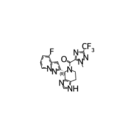 Cn1nc(C(F)(F)F)nc1C(=O)N1CCc2[nH]cnc2[C@@H]1c1cc2c(F)cccn2n1